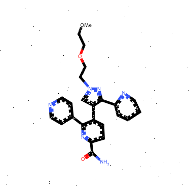 COCCOCCn1cc(-c2ccc(C(N)=O)nc2-c2ccncc2)c(-c2ccccn2)n1